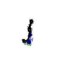 Clc1ccccc1-c1cc(NCC2CCCN(Cc3ccc(C#Cc4ccccc4)cc3)C2)n2ncc(Br)c2n1